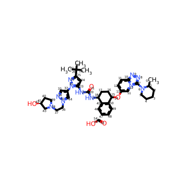 CC1CCCCN1c1nnc2ccc(OC3CCC(NC(=O)Nc4cc(C(C)(C)C)nn4-c4cnn(CCN5CC[C@H](O)C5)c4)c4ccccc43)cn12.O=CO